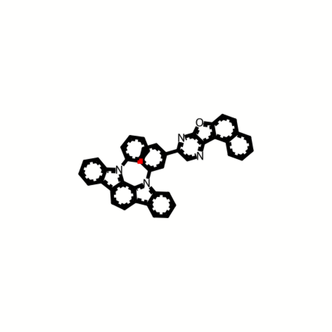 c1ccc(-n2c3ccccc3c3ccc4c5ccccc5n(-c5cccc(-c6cnc7c(n6)oc6ccc8ccccc8c67)c5)c4c32)cc1